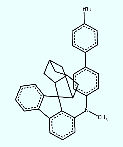 CN(c1ccc(-c2ccc(C(C)(C)C)cc2)cc1)c1cccc2c1C1(c3ccccc3-2)C2CC3CC(C2)C1C3